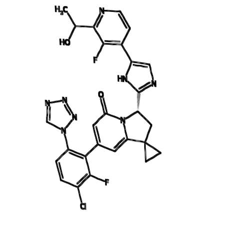 CC(O)c1nccc(-c2cnc([C@@H]3CC4(CC4)c4cc(-c5c(-n6cnnn6)ccc(Cl)c5F)cc(=O)n43)[nH]2)c1F